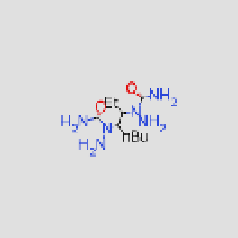 C[CH]CCC(C(CC)N(N)C(N)=O)N(N)C(N)=O